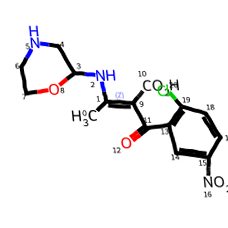 C/C(NC1CNCCO1)=C(/C(=O)O)C(=O)c1cc([N+](=O)[O-])ccc1Cl